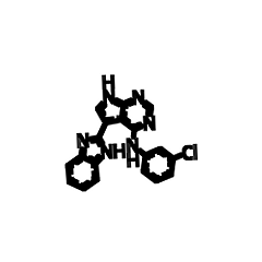 Clc1cccc(Nc2ncnc3[nH]cc(-c4nc5ccccc5[nH]4)c23)c1